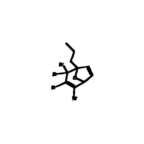 CCCC12C=CC(O1)C(Br)=C(Br)C2(Br)Br